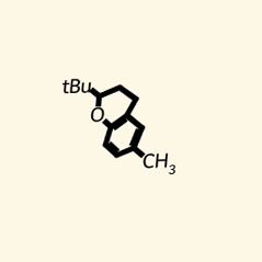 Cc1ccc2c(c1)CCC(C(C)(C)C)O2